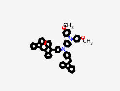 COc1ccc(N(c2ccc(OC)cc2)c2ccc(N(c3ccc(C=C4c5ccccc5-c5ccccc54)cc3)c3ccc(-c4c5ccccc5c(C=C5c6ccccc6-c6ccccc65)c5ccccc45)cc3)cc2)cc1